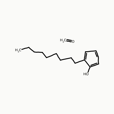 C=O.CCCCCCCCCc1ccccc1O